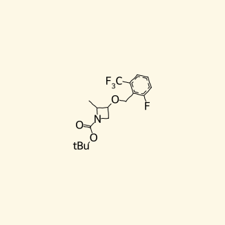 CC1C(OCc2c(F)cccc2C(F)(F)F)CN1C(=O)OC(C)(C)C